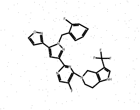 Fc1ccccc1Cn1nc(-c2ncc(F)c(N3CCc4[nH]cc(C(F)(F)F)c4C3)n2)cc1-c1ccon1